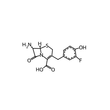 N[C@@H]1C(=O)N2C(C(=O)O)=C(Cc3ccc(O)c(F)c3)CS[C@@H]12